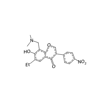 CCc1cc2c(=O)c(-c3ccc([N+](=O)[O-])cc3)coc2c(CN(C)C)c1O